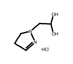 Cl.OC(O)CN1CCC=N1